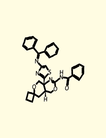 O=C(NC1=N[C@@]2(c3nc(N=C(c4ccccc4)c4ccccc4)cs3)COC3(CCC3)C[C@H]2CO1)c1ccccc1